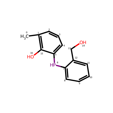 Cc1cccc(Pc2ccccc2CO)c1O